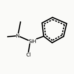 CN(C)[SiH](Cl)c1ccccc1